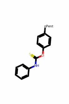 CCCCCc1ccc(OC(=S)Nc2ccccc2)cc1